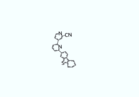 N#Cc1cc(-c2cccc(-c3ccc4c(c3)sc3ccccc34)n2)ccn1